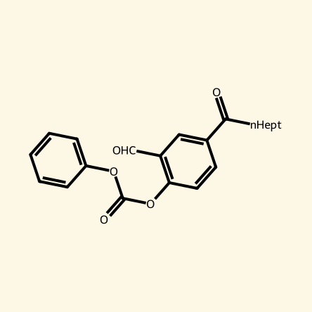 CCCCCCCC(=O)c1ccc(OC(=O)Oc2ccccc2)c(C=O)c1